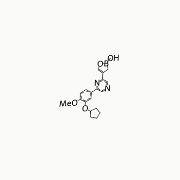 COc1ccc(-c2cncc(C3=COB(O)C3)n2)cc1OC1CCCC1